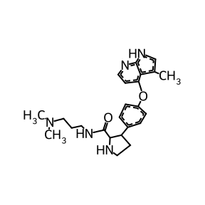 Cc1c[nH]c2nccc(Oc3ccc(C4CCNC4C(=O)NCCCN(C)C)cc3)c12